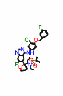 CCC(N(CC)S(=O)(=O)C(C)C)C1(c2cc3c(Nc4ccc(OCc5cccc(F)c5)c(Cl)c4)ncnc3cc2F)CC=CO1